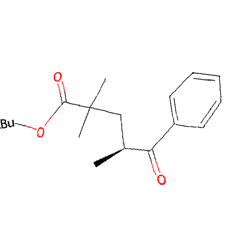 C[C@@H](CC(C)(C)C(=O)OC(C)(C)C)C(=O)c1ccccc1